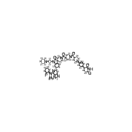 CC(C)n1cnc2cc(-c3ccc4c(c3)N(C3CC(N5CCCCC5)C3)C(=O)C43CCN(C(=O)C4(C)CCN(C(=O)C5CCN(c6ccc(C7CCC(=O)NC7=O)cn6)CC5)CC4)CC3)nc(Nc3ccccc3F)c21